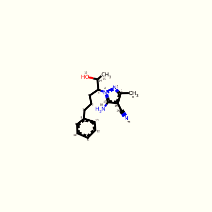 Cc1nn(C(CCCc2ccccc2)C(C)O)c(N)c1C#N